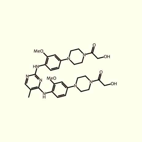 COc1cc(N2CCN(C(=O)CO)CC2)ccc1Nc1ncc(C)c(Nc2ccc(N3CCN(C(=O)CO)CC3)cc2OC)n1